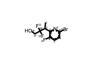 CC(c1nc(Br)ccc1F)C(F)(F)CO